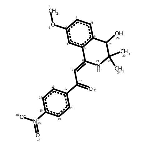 COc1ccc2c(c1)C(=CC(=O)c1ccc([N+](=O)[O-])cc1)NC(C)(C)C2O